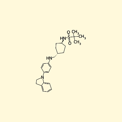 CC(C)(C)S(=O)(=O)N[C@H]1CC[C@H](CNc2ccc(N3CCc4ccccc43)cc2)CC1